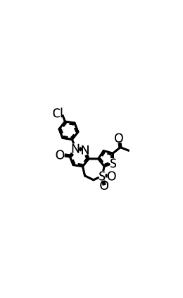 CC(=O)c1cc2c(s1)S(=O)(=O)CCc1cc(=O)n(-c3ccc(Cl)cc3)nc1-2